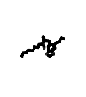 CCCCCCCC[S+]([O-])C(C)Cc1cc2c(cc1CCCC)OCO2